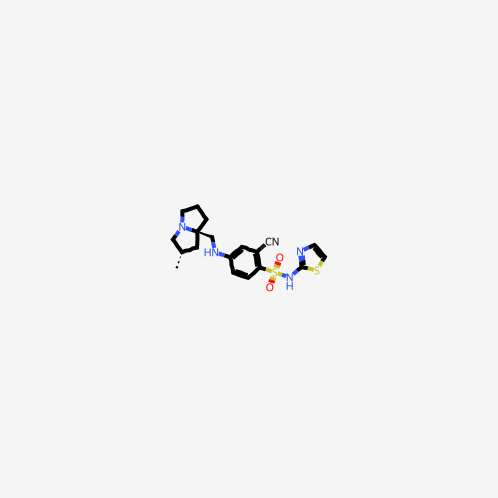 C[C@@H]1CN2CCC[C@]2(CNc2ccc(S(=O)(=O)Nc3nccs3)c(C#N)c2)C1